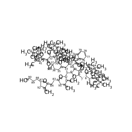 C=C1C(CC2OC(C[C@@H](CO[Si](C)(C)C(C)(C)C)O[Si](C)(C)C(C)(C)C)[C@H](OC)C2C(C(O)C[C@H]2CC[C@@H]3O[C@@H]([C@H](/C=C/C)O[Si](C)(C)C(C)(C)C)[C@@H](O[Si](C)(C)C(C)(C)C)[C@@H](O[Si](C)(C)C(C)(C)C)[C@H]3O2)S(=O)(=O)c2ccccc2)O[C@@H](CC[C@@H]2OC(CCCO)CC2=C)C[C@H]1C